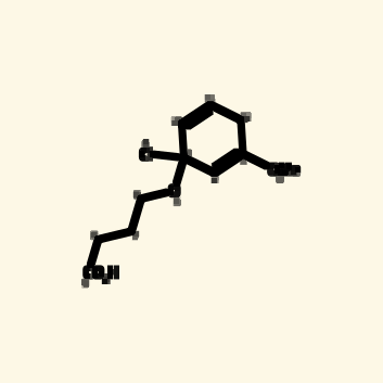 COC1=CC(Cl)(OCCCC(=O)O)C=C[CH]1